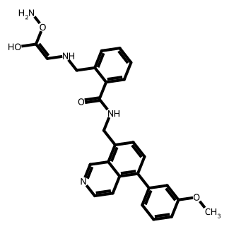 COc1cccc(-c2ccc(CNC(=O)c3ccccc3CN/C=C(/O)ON)c3cnccc23)c1